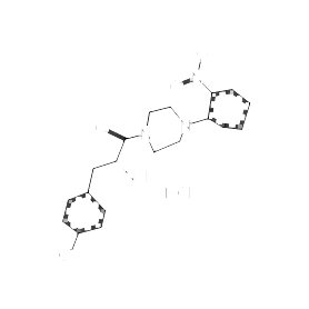 Cl.N[C@H](Cc1ccc(Cl)cc1)C(=O)N1CCN(c2ccccc2[N+](=O)[O-])CC1